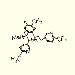 CNC(=O)C(N[C@H](CCc1ccc(C(F)(F)F)nc1)c1ccc(F)c(C)c1)c1ccc(C)nc1